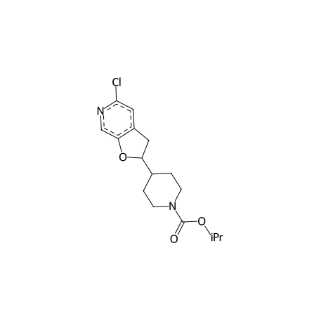 CC(C)OC(=O)N1CCC(C2Cc3cc(Cl)ncc3O2)CC1